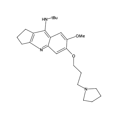 COc1cc2c(NC(C)(C)C)c3c(nc2cc1OCCCN1CCCC1)CCC3